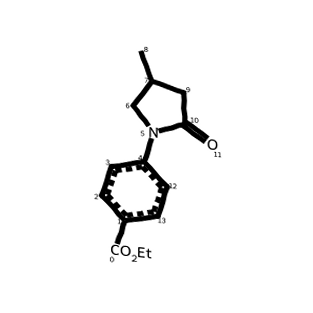 CCOC(=O)c1ccc(N2CC(C)CC2=O)cc1